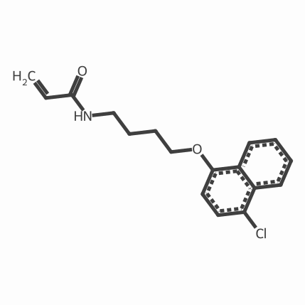 C=CC(=O)NCCCCOc1ccc(Cl)c2ccccc12